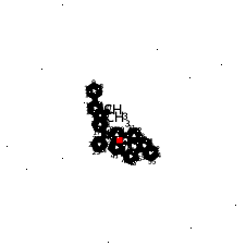 CC1(C)c2cc(-c3ccccc3)ccc2-c2ccc(N(c3ccccc3)c3ccc(-c4ccccc4-n4c5ccccc5c5cccc(-c6cccc7ccccc67)c54)cc3)cc21